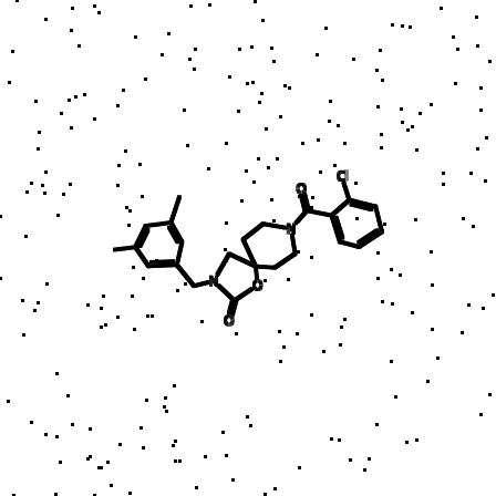 Cc1cc(C)cc(CN2CC3(CCN(C(=O)c4ccccc4Cl)CC3)OC2=O)c1